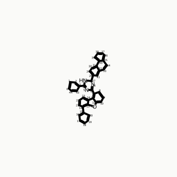 c1ccc(C2=NC(c3cccc4oc5c(-c6ccccc6)cccc5c34)=NC(c3ccc4c(ccc5ccccc54)c3)N2)cc1